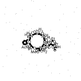 C=C1C(=O)N[C@@H](C)C(=O)N(C)[C@@H](C)C(=O)N[C@@H](C(OC(=O)[C@@H](NC(=O)CC)[C@H](O[PH](=O)O)C(C)C)C(C)C)C(=O)N(C)[C@@H]([C@@H](C)OC)C(=O)O[C@H](C(C)C)[C@H](NC(C)=O)C(=O)O[C@H](Cc2ccccc2)C(=O)N1C